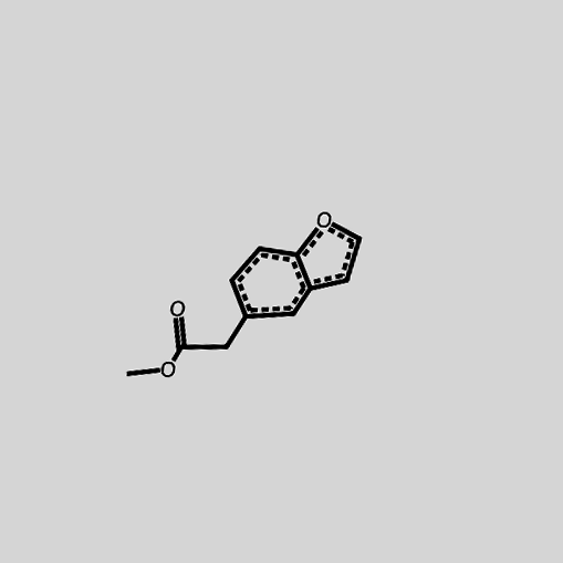 COC(=O)Cc1ccc2occc2c1